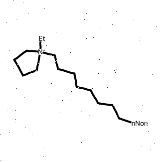 CCCCCCCCCCCCCCCCC[N+]1(CC)CCCC1